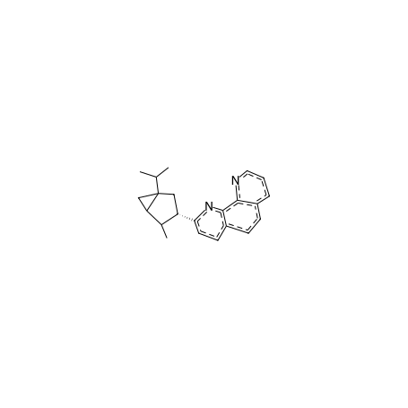 CC1C2CC2(C(C)C)C[C@@H]1c1ccc2ccc3cccnc3c2n1